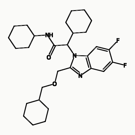 O=C(NC1CCCCC1)C(C1CCCCC1)n1c(COCC2CCCCC2)nc2cc(F)c(F)cc21